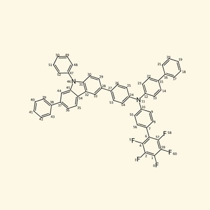 Fc1c(F)c(F)c(-c2ccc(N(c3ccc(-c4ccccc4)cc3)c3ccc(-c4ccc5c(c4)c4ccc(-c6ccccc6)cc4n5-c4ccccc4)cc3)cc2)c(F)c1F